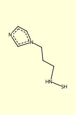 SNCCCn1ccnc1